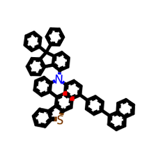 c1ccc(C2(c3ccccc3)c3ccccc3-c3c(N(c4ccc(-c5ccc(-c6cccc7ccccc67)cc5)cc4)c4ccccc4-c4cccc5sc6ccccc6c45)cccc32)cc1